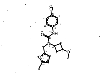 COC1CC(N(Cc2ccc(C)o2)C(=O)Nc2ccc(Cl)cc2)C1